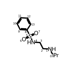 CC(C)NCCNS(=O)(=O)c1cc[c]cc1